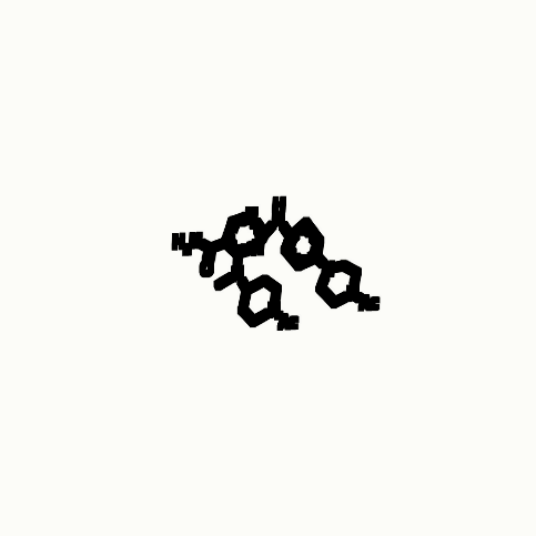 CC(=O)N1CCC(N(C)c2nc(Nc3ccc(N4CCN(C(C)=O)CC4)cc3)ncc2C(N)=O)CC1